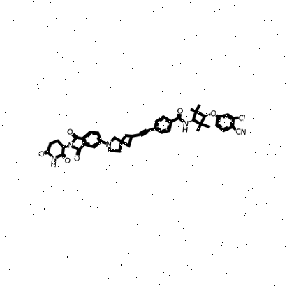 CC1(C)[C@H](NC(=O)c2ccc(C#CC3CC4(CCN(c5ccc6c(c5)C(=O)N(C5CCC(=O)NC5=O)C6=O)C4)C3)cc2)C(C)(C)[C@H]1Oc1ccc(C#N)c(Cl)c1